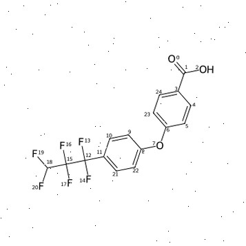 O=C(O)c1ccc(Oc2ccc(C(F)(F)C(F)(F)C(F)F)cc2)cc1